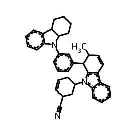 CC1C=Cc2c(n(C3CC=CC(C#N)C3)c3ccccc23)C1c1cccc(N2c3ccccc3C3CCCCC32)c1